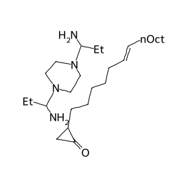 CCC(N)N1CCN(C(N)CC)CC1.CCCCCCCCC=CCCCCCC1CC1=O